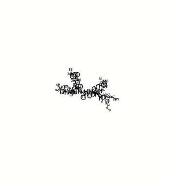 CCCCOc1cnc(-c2nn(S(=O)(=O)NC(=O)N3C[C@H](NC(=O)/C(=N\OC(C)(C)C(=O)OC(C)(C)C)c4csc(NC(=O)OC(C)(C)C)n4)C3=O)c(=O)n2Cc2cc(C)n(C)n2)cc1OCCCC